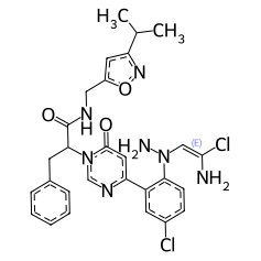 CC(C)c1cc(CNC(=O)C(Cc2ccccc2)n2cnc(-c3cc(Cl)ccc3N(N)/C=C(\N)Cl)cc2=O)on1